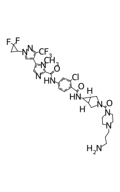 Cn1c(-c2cn(C3CC3(F)F)nc2C(F)(F)F)cnc1C(=O)Nc1ccc(C(=O)NC2[C@H]3CN(C(=O)N4CCN(CCCN)CC4)C[C@@H]23)c(Cl)c1